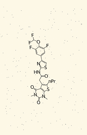 CCCc1sc2c(c1CC(=O)Nc1nc(-c3cc(F)c(OC(F)F)c(F)c3)cs1)c(=O)n(C)c(=O)n2C